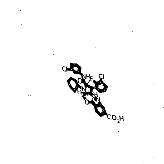 C[C@]1(C(=O)Nc2cccc(Cl)c2)[C@@H](c2cccc(Cl)c2F)[C@H]2[C@H](COc3c4ccc(C(=O)O)cc4nn32)N1C1CCCCC1